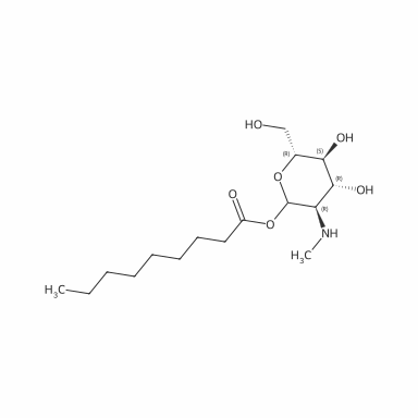 CCCCCCCCC(=O)OC1O[C@H](CO)[C@@H](O)[C@H](O)[C@H]1NC